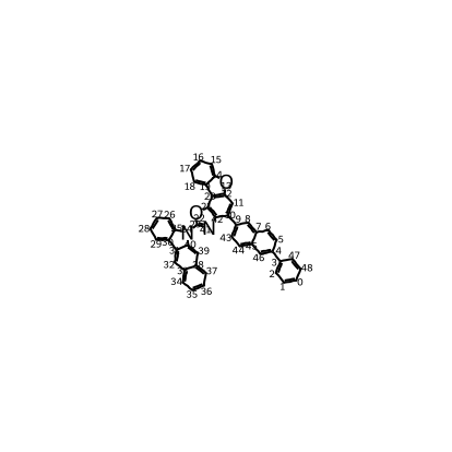 c1ccc(-c2ccc3cc(-c4cc5oc6ccccc6c5c5oc(-n6c7ccccc7c7cc8ccccc8cc76)nc45)ccc3c2)cc1